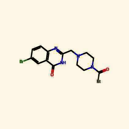 CCC(=O)N1CCN(Cc2nc3ccc(Br)cc3c(=O)[nH]2)CC1